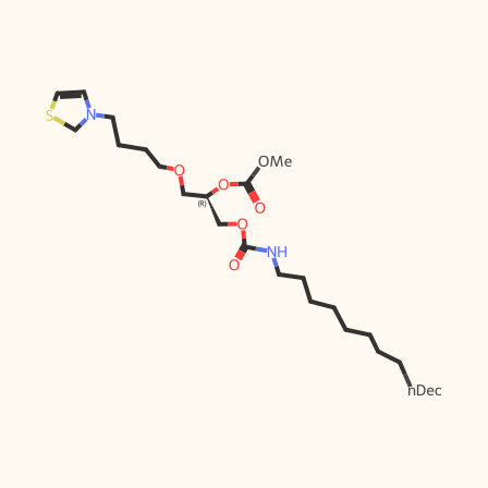 CCCCCCCCCCCCCCCCCCNC(=O)OC[C@@H](COCCCCN1C=CSC1)OC(=O)OC